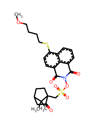 COCCCCSc1ccc2c3c(cccc13)C(=O)N(OS(=O)(=O)CC13CCC(CC1=O)C3(C)C)C2=O